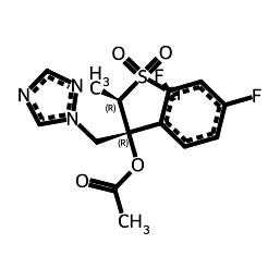 CC(=O)O[C@@](Cn1cncn1)(c1ccc(F)cc1F)[C@@H](C)S(=O)(=O)Cl